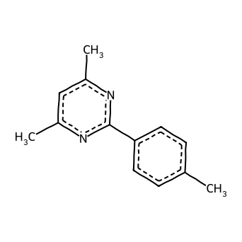 Cc1ccc(-c2nc(C)cc(C)n2)cc1